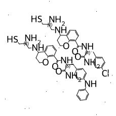 NC(=O)[C@@H](Cc1ccc(Cl)cc1)NC(=O)c1cccc2c1OCCC2NC[C@@H](N)CS.NC(=O)[C@H](Cc1ccc(Nc2ccccc2)cc1)NC(=O)c1cccc2c1OCCC2NC[C@@H](N)CS